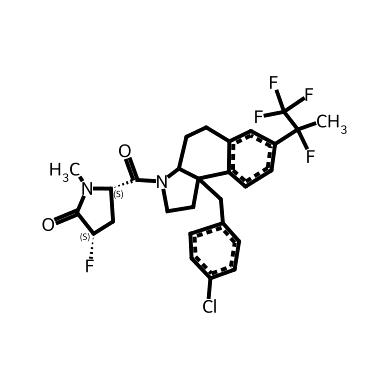 CN1C(=O)[C@@H](F)C[C@H]1C(=O)N1CCC2(Cc3ccc(Cl)cc3)c3ccc(C(C)(F)C(F)(F)F)cc3CCC12